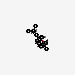 Cc1ccc2c(c1)C1(c3cc(C)ccc3N2c2ccccc2)c2ccccc2C2(c3cc(C)ccc3N(c3ccc(-c4nc(-c5ccccc5)cc(-c5ccccc5)n4)cc3)c3ccc(C)cc32)c2ccccc21